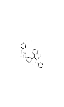 CSc1ccc(NC(=O)Nc2cccc(-c3c(C(=O)c4ccccc4)cnc4c(C(F)(F)F)cccc34)c2)cc1